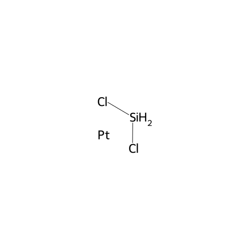 Cl[SiH2]Cl.[Pt]